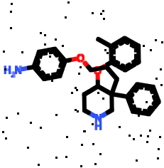 Cc1ccccc1OC1CCNCC1(CCCOc1ccc(N)cc1)c1ccccc1